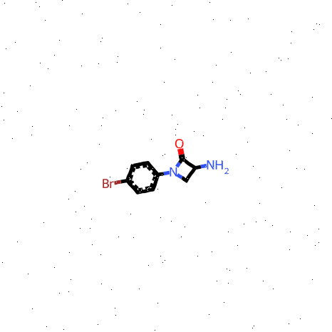 NC1CN(c2ccc(Br)cc2)C1=O